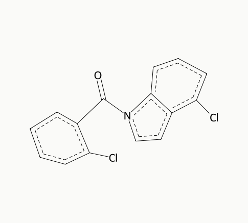 O=C(c1ccccc1Cl)n1ccc2c(Cl)cccc21